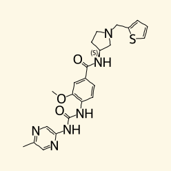 COc1cc(C(=O)N[C@H]2CCN(Cc3cccs3)C2)ccc1NC(=O)Nc1cnc(C)cn1